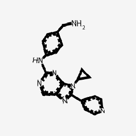 NCc1ccc(Nc2ncc3nc(-c4ccncc4)n(C4CC4)c3n2)cc1